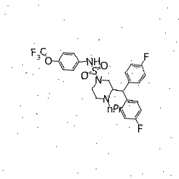 CCCN1CCN(S(=O)(=O)Nc2ccc(OC(F)(F)F)cc2)CC1C(c1ccc(F)cc1)c1ccc(F)cc1